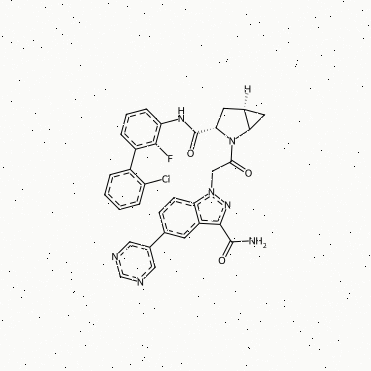 NC(=O)c1nn(CC(=O)N2C3C[C@@H]3C[C@H]2C(=O)Nc2cccc(-c3ccccc3Cl)c2F)c2ccc(-c3cncnc3)cc12